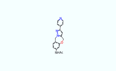 CC(=O)Nc1ccc2c(c1)OCc1cc(-c3ccncc3)nn1C2